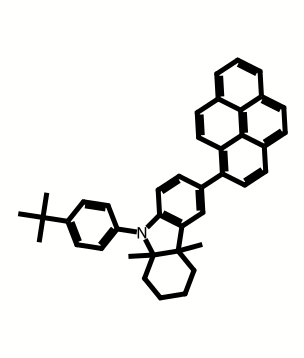 CC(C)(C)c1ccc(N2c3ccc(-c4ccc5ccc6cccc7ccc4c5c67)cc3C3(C)CCCCC23C)cc1